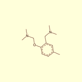 Cc1ccc(OCN(C)C)c(CN(C)C)c1